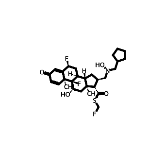 C[C@]12C[C@H](O)[C@@]3(F)[C@@H](C[C@H](F)C4=CC(=O)C=C[C@@]43C)[C@@H]1C[C@@H](CN(O)CC1CCCC1)[C@@H]2C(=O)SCF